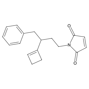 O=C1C=CC(=O)N1CCC(Cc1ccccc1)C1=CCC1